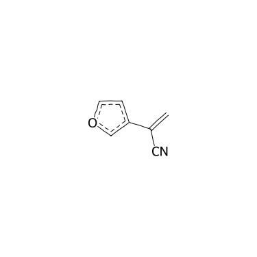 C=C(C#N)c1ccoc1